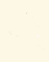 CCCc1ccc(OC/C=C(/c2ccc(Cl)cc2)c2ccc(C#CCN3CCOCC3)cc2)cc1C